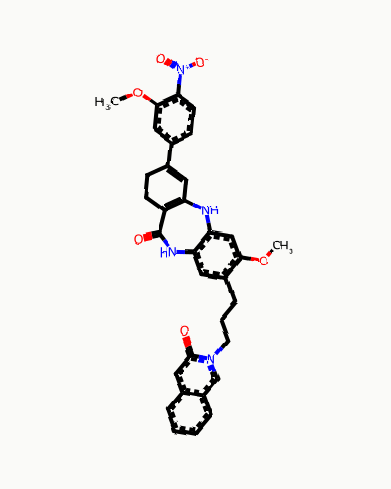 COc1cc2c(cc1CCCn1cc3ccccc3cc1=O)NC(=O)C1=C(C=C(c3ccc([N+](=O)[O-])c(OC)c3)CC1)N2